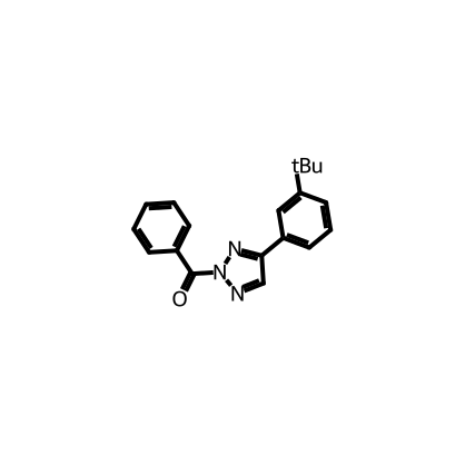 CC(C)(C)c1cccc(-c2cnn(C(=O)c3ccccc3)n2)c1